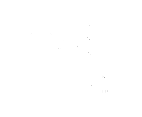 Nc1ncc(C(=O)NC2=Nc3c(ccc(N4CCOCC4)c3OC(F)(F)F)C3=NCCN23)cn1